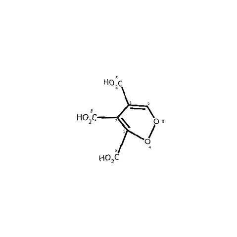 O=C(O)C1=COOC(C(=O)O)=C1C(=O)O